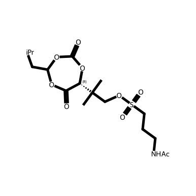 CC(=O)NCCCS(=O)(=O)OCC(C)(C)[C@H]1OC(=O)OC(CC(C)C)OC1=O